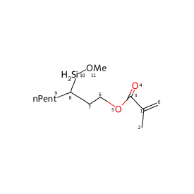 C=C(C)C(=O)OCCC(CCCCC)[SiH2]OC